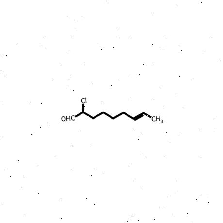 CC=CCCCCC(Cl)C=O